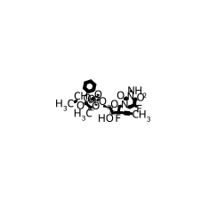 CC#CC1(F)C(n2cc(F)c(=O)n(N)c2=O)O[C@H](COP(=O)(Oc2ccccc2)O[C@@H](C)C(=O)OC(C)C)[C@@H]1O